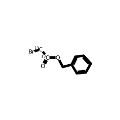 O=[13C]([13CH2]Br)OCc1ccccc1